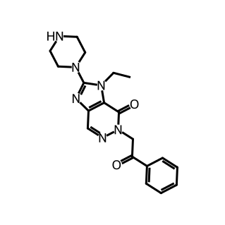 CCn1c(N2CCNCC2)nc2cnn(CC(=O)c3ccccc3)c(=O)c21